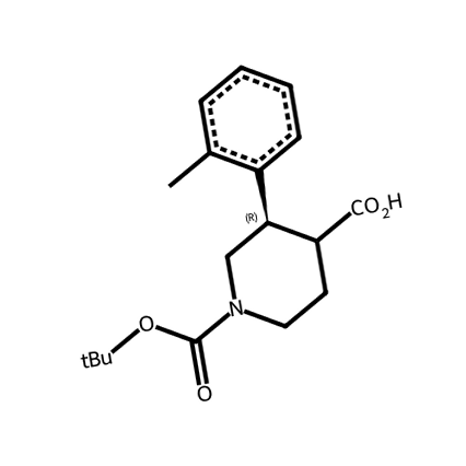 Cc1ccccc1[C@@H]1CN(C(=O)OC(C)(C)C)CCC1C(=O)O